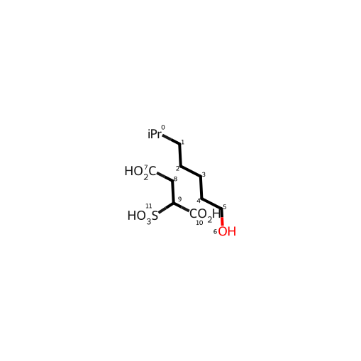 CC(C)CCCCCO.O=C(O)CC(C(=O)O)S(=O)(=O)O